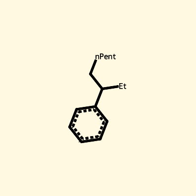 CCCCCCC(CC)c1cc[c]cc1